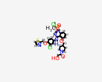 CS(=O)(=O)Cl.O=C(CO)N1CCC(COc2cccc3ncnc(Nc4ccc(OCc5nccs5)c(Cl)c4)c23)CC1